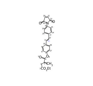 C=C(CC(=O)OCC)C(=O)Oc1ccc(/C=C/c2ccc(N3C(=O)C=CC3=O)cc2)cc1